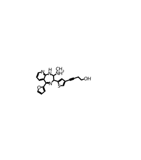 CNC1Nc2ncccc2C(c2ccco2)=NC1c1cc(C#CCCO)cs1